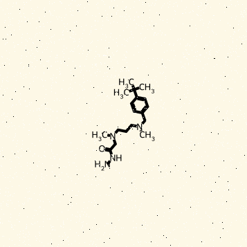 CN(CCCN(C)Cc1ccc(C(C)(C)C)cc1)CC(=O)NN